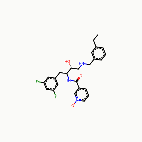 CCc1cccc(CNC[C@@H](O)[C@H](Cc2cc(F)cc(F)c2)NC(=O)c2ccc[n+]([O-])c2)c1